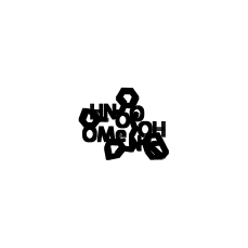 COc1ccccc1CN(CC(O)COc1ccccc1C(=O)NCc1ccccc1)C1C2CC3CC(C2)CC1C3